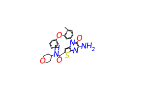 Cc1ccc(-n2c(=O)c(N)nc3sc(C(=O)NC4CCOCC4)cc32)cc1Oc1ccccc1